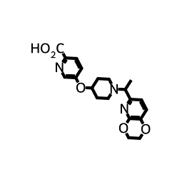 CC(c1ccc2c(n1)OCCO2)N1CCC(Oc2ccc(C(=O)O)nc2)CC1